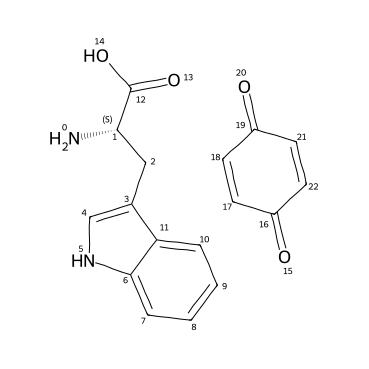 N[C@@H](Cc1c[nH]c2ccccc12)C(=O)O.O=C1C=CC(=O)C=C1